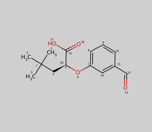 CC(C)(C)C[C@H](Oc1cccc(C=O)c1)C(=O)O